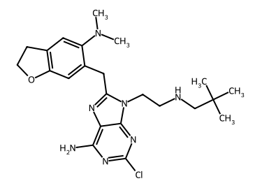 CN(C)c1cc2c(cc1Cc1nc3c(N)nc(Cl)nc3n1CCNCC(C)(C)C)OCC2